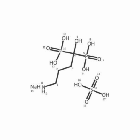 NCCCC(O)(P(=O)(O)O)P(=O)(O)O.O=S(=O)(O)O.[NaH]